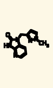 Cn1ccc(Cn2c(=O)[nH]c3ncccc32)n1